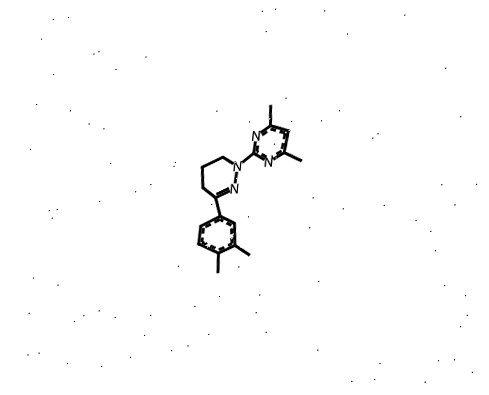 Cc1cc(C)nc(N2CCCC(c3ccc(C)c(C)c3)=N2)n1